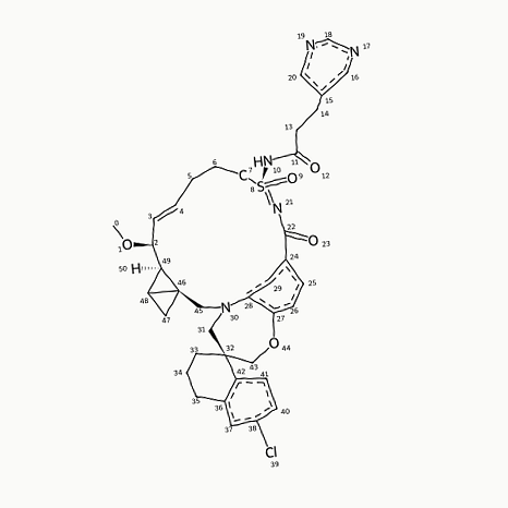 CO[C@H]1/C=C/CCC[S@@](=O)(NC(=O)CCc2cncnc2)=NC(=O)c2ccc3c(c2)N(C[C@@]2(CCCc4cc(Cl)ccc42)CO3)C[C@@]23CC2[C@@H]13